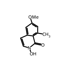 COc1cc(C)c2c(=O)n(O)ccc2c1